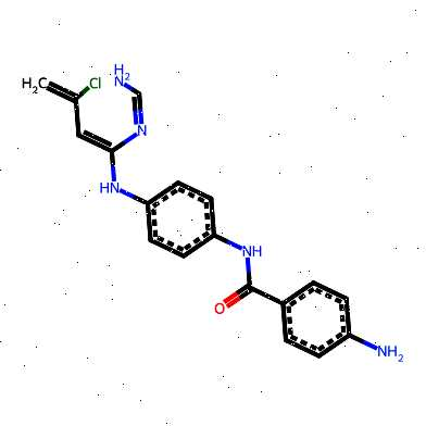 C=C(Cl)/C=C(\N=C/N)Nc1ccc(NC(=O)c2ccc(N)cc2)cc1